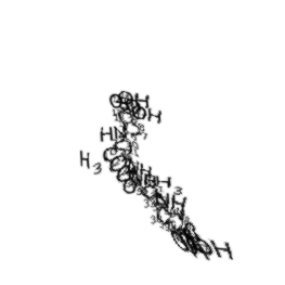 Cc1cc(Nc2cccc3c(O)c(S(=O)(=O)O)ccc23)ccc1C(=O)NC(=O)NC(=O)c1ccc(Nc2cccc3c(O)c(S(=O)(=O)O)ccc23)cc1C